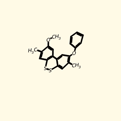 COc1cc2c(cc1C)SSc1cc(C)c(Oc3ccccc3)cc1-2